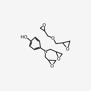 C(OCC1CO1)C1CO1.Oc1ccc(N(CC2CO2)CC2CO2)cc1